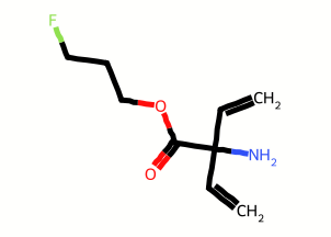 C=CC(N)(C=C)C(=O)OCCCF